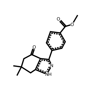 COC(=O)c1ccc(-c2n[nH]c3c2C(=O)CC(C)(C)C3)cc1